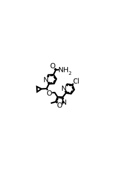 Cc1onc(-c2ccc(Cl)cn2)c1COC(c1ccc(C(N)=O)cn1)C1CC1